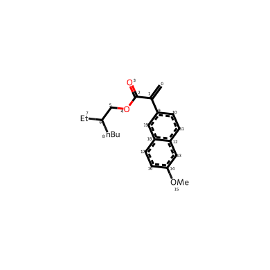 C=C(C(=O)OCC(CC)CCCC)c1ccc2cc(OC)ccc2c1